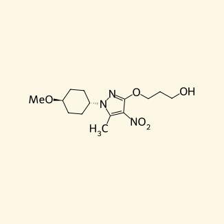 CO[C@H]1CC[C@H](n2nc(OCCCO)c([N+](=O)[O-])c2C)CC1